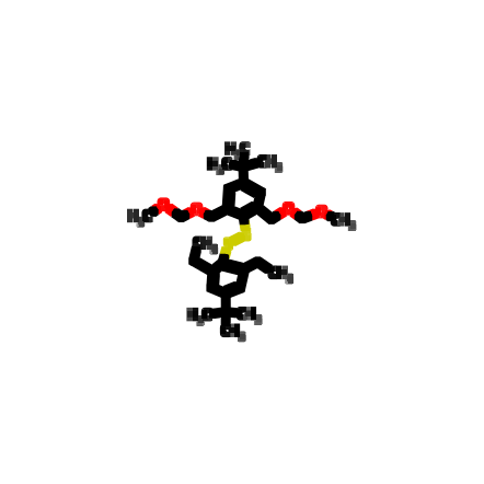 CCc1cc(C(C)(C)C)cc(CC)c1SSc1c(COCOC)cc(C(C)(C)C)cc1COCOC